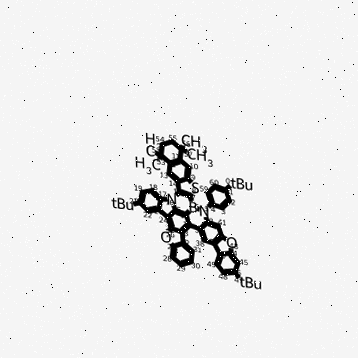 CC(C)(C)c1ccc(N2B3c4sc5cc6c(cc5c4-n4c5ccc(C(C)(C)C)cc5c5c7oc8ccccc8c7c(c3c54)-c3cc4c(cc32)oc2cc(C(C)(C)C)ccc24)C(C)(C)CCC6(C)C)cc1